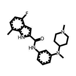 Cc1ccc(F)c2cc(C(=O)Nc3cccc(N(C)C4CCN(C)CC4)c3)[nH]c12